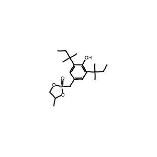 CCC(C)(C)c1cc(CP2(=O)OCC(C)O2)cc(C(C)(C)CC)c1O